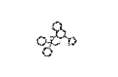 C1=CC(c2ccccc2)(c2ccccc2)Oc2c1c(-c1cccs1)cc1ccccc21